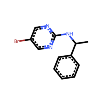 CC(Nc1ncc(Br)cn1)c1ccccc1